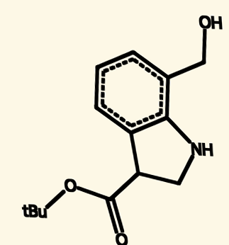 CC(C)(C)OC(=O)C1CNc2c(CO)cccc21